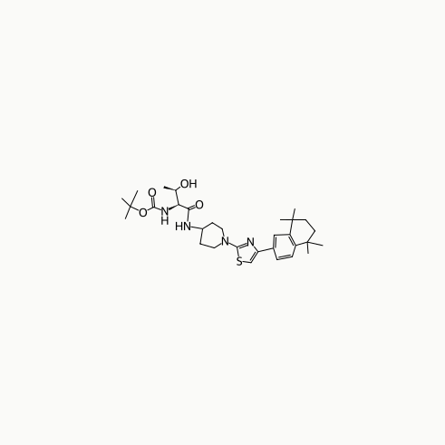 C[C@@H](O)[C@H](NC(=O)OC(C)(C)C)C(=O)NC1CCN(c2nc(-c3ccc4c(c3)C(C)(C)CCC4(C)C)cs2)CC1